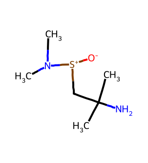 CN(C)[S+]([O-])CC(C)(C)N